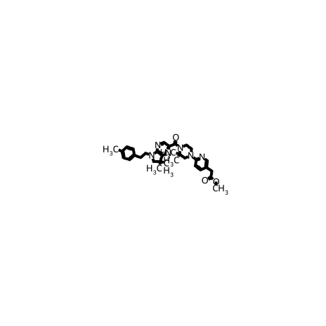 COC(=O)Cc1ccc(N2CCN(C(=O)c3cnc4c(n3)C(C)(C)CN4CCc3ccc(C)cc3)C(C)(C)C2)nc1